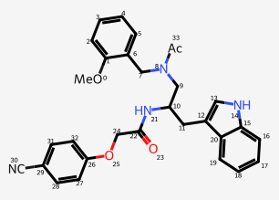 COc1ccccc1CN(CC(Cc1c[nH]c2ccccc12)NC(=O)COc1ccc(C#N)cc1)C(C)=O